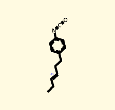 CC/C=C/CCc1ccc(N=C=O)cc1